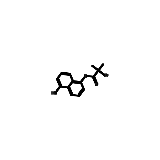 CC(C)C(C)(C)C(=O)Oc1cccc2c(O)cccc12